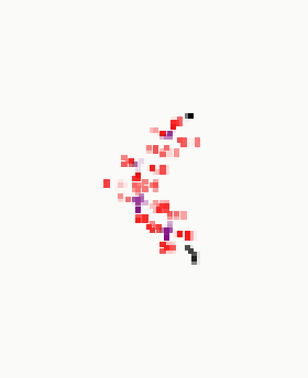 O.O=P(O)(O)O.O=P(O)(O)O.O=P(O)(O)O.O=P(O)(O)O.[Zr].[Zr].[Zr]